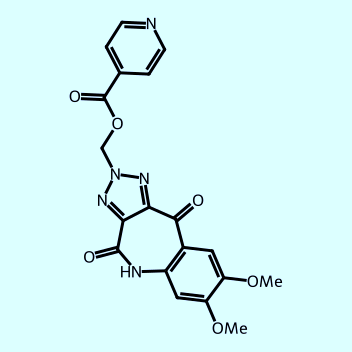 COc1cc2[nH]c(=O)c3nn(COC(=O)c4ccncc4)nc3c(=O)c2cc1OC